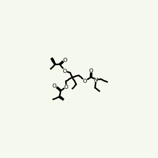 C=C(C)C(=O)OCC(CC)(COC(=O)C(=C)C)COC(=O)N(CC)CC